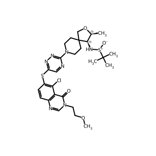 COCCn1cnc2ccc(Sc3cnc(N4CCC5(CC4)CO[C@@H](C)[C@H]5N[S+]([O-])C(C)(C)C)nn3)c(Cl)c2c1=O